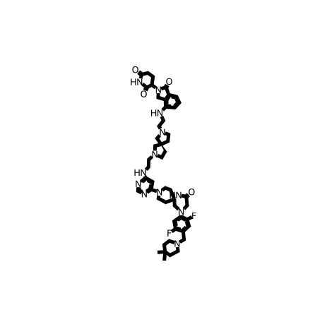 CC1(C)CCN(Cc2cc(F)c(N3CC(=O)NC4(CCN(c5cc(NCCN6CC[C@@]7(CCN(CCNc8cccc9c8CN(C8CCC(=O)NC8=O)C9=O)C7)C6)ncn5)CC4)C3)cc2F)CC1